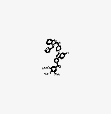 COc1cc(C(=O)N2CCC(CCN3CCC(Nc4nc5ccccc5n4Cc4ccco4)CC3)(c3ccc(Cl)cc3)C2)cc(OC)c1OC